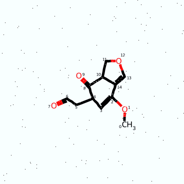 COC1=CC(CC=O)C(=O)C2COC=C12